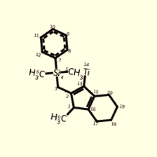 CC1C(C[Si](C)(C)c2ccccc2)=[C]([Ti])C2=C1CCCC2